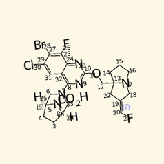 O=C(O)N1[C@@H]2CC[C@H]1CN(c1nc(OCC34CCCN3C/C(=C\F)C4)nc3c(F)c(Br)c(Cl)cc13)C2